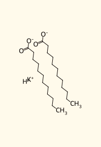 CCCCCCCCCCCC(=O)[O-].CCCCCCCCCCCC(=O)[O-].[H+].[K+]